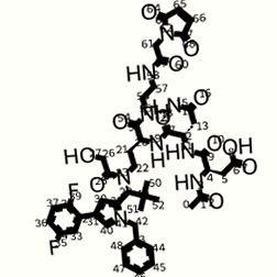 CC(=O)N[C@H](CC(=O)O)C(=O)N[C@@H](CC(N)=O)C(=O)N[C@@H](CCN(C(=O)CO)[C@@H](c1cc(-c2cc(F)ccc2F)cn1Cc1ccccc1)C(C)(C)C)C(=O)NCCNC(=O)CN1C(=O)C=CC1=O